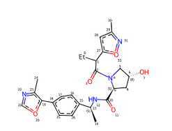 CCC(C(=O)N1C[C@H](O)C[C@H]1C(=O)N[C@@H](C)c1ccc(-c2ocnc2C)cc1)c1cc(C)no1